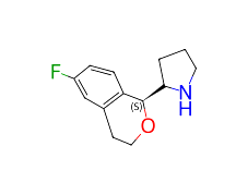 Fc1ccc2c(c1)CCO[C@@H]2C1CCCN1